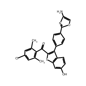 Cc1cc(Cl)cc(C)c1C(=O)c1sc2cc(O)ccc2c1-c1ccc(-c2nc(N)co2)cc1